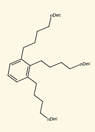 CCCCCCCCCCCCCCc1c[c]cc(CCCCCCCCCCCCCC)c1CCCCCCCCCCCCCC